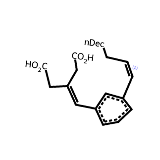 CCCCCCCCCCC/C=C\c1cccc(C=C(CC(=O)O)CC(=O)O)c1